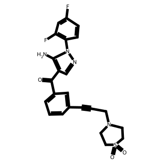 Nc1c(C(=O)c2cccc(C#CCN3CCS(=O)(=O)CC3)c2)cnn1-c1ccc(F)cc1F